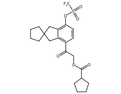 O=C(COC(=O)C1CCCC1)c1ccc(OS(=O)(=O)C(F)(F)F)c2c1CC1(CCCC1)C2